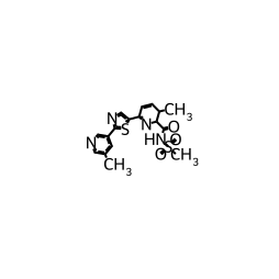 Cc1cncc(-c2ncc(C3=NC(C(=O)NS(C)(=O)=O)C(C)C=C3)s2)c1